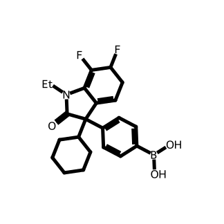 CCN1C(=O)C(c2ccc(B(O)O)cc2)(C2CCCCC2)C2=CCC(F)C(F)=C21